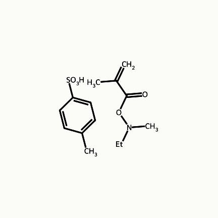 C=C(C)C(=O)ON(C)CC.Cc1ccc(S(=O)(=O)O)cc1